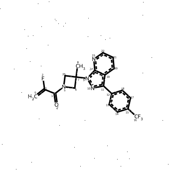 C=C(F)C(=O)N1CC(C)(n2nc(-c3ccc(C(F)(F)F)cc3)c3cccnc32)C1